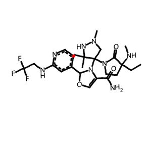 CCC1(NC)CCN(C2(N3C(C(N)=O)=COC3c3ccnc(NCC(F)(F)F)c3)CN(C)NC2(C)C)C1=O